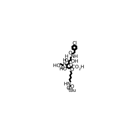 CC(C)(C)OC(=O)NCCCCCCO[C@]1(C(=O)O)C[C@H](O)[C@@H](NC(=O)CO)[C@H]([C@H](O)[C@H](O)CNC(=O)Cc2ccc(Cl)cc2)O1